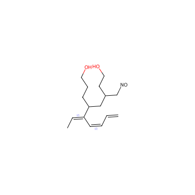 C=C/C=C\C(=C/C)C(CCCO)CC(CCO)CN=O